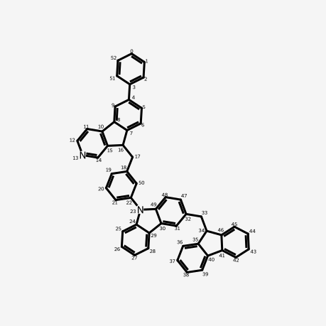 c1ccc(-c2ccc3c(c2)-c2ccncc2C3Cc2cccc(-n3c4ccccc4c4cc(CC5c6ccccc6-c6ccccc65)ccc43)c2)cc1